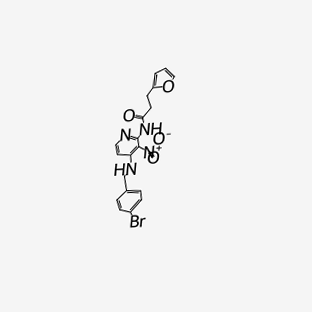 O=C(CCc1ccco1)Nc1nccc(NCc2ccc(Br)cc2)c1[N+](=O)[O-]